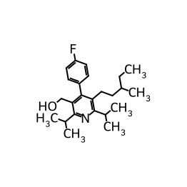 CCC(C)CCc1c(C(C)C)nc(C(C)C)c(CO)c1-c1ccc(F)cc1